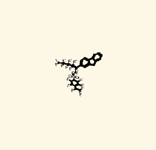 O=S(=O)(ON=C(c1ccc2c(c1)Cc1ccccc1-2)C(F)(F)C(F)(F)C(F)(F)C(F)F)c1c(F)c(F)c(C(F)=C(F)F)c(F)c1F